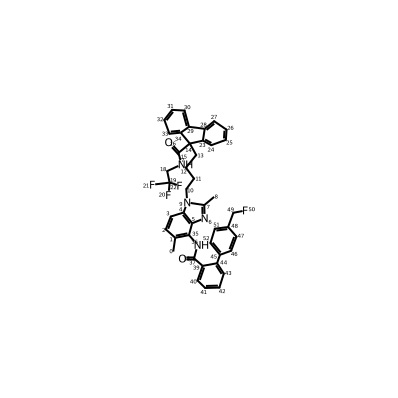 Cc1ccc2c(nc(C)n2CCCCC2(C(=O)NCC(F)(F)F)c3ccccc3-c3ccccc32)c1NC(=O)c1ccccc1-c1ccc(CF)cc1